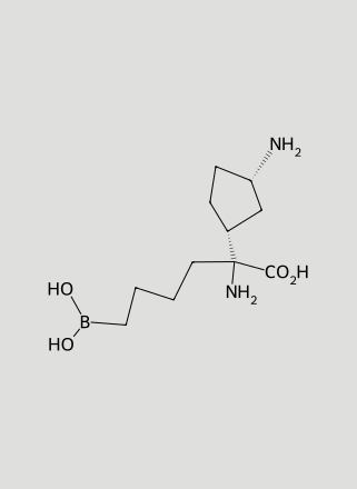 N[C@H]1CC[C@@H](C(N)(CCCCB(O)O)C(=O)O)C1